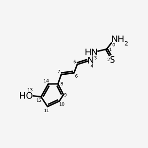 NC(=S)NN=CC=Cc1cccc(O)c1